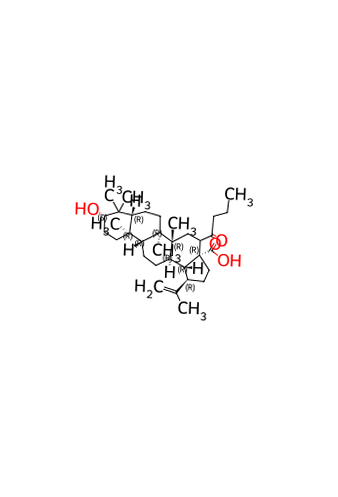 C=C(C)[C@@H]1CC[C@]2(C(=O)O)C(C(=O)CCC)C[C@]3(C)[C@H](CC[C@@H]4[C@@]5(C)CC[C@H](O)C(C)(C)[C@@H]5CC[C@]43C)[C@@H]12